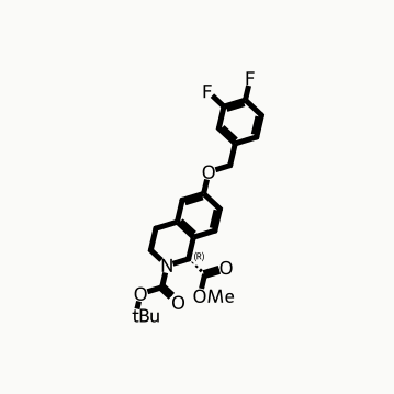 COC(=O)[C@H]1c2ccc(OCc3ccc(F)c(F)c3)cc2CCN1C(=O)OC(C)(C)C